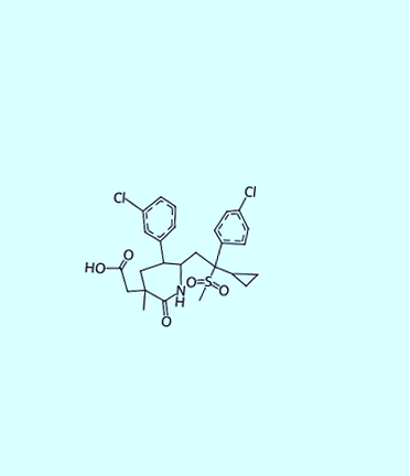 CC1(CC(=O)O)CC(c2cccc(Cl)c2)C(CC(c2ccc(Cl)cc2)(C2CC2)S(C)(=O)=O)NC1=O